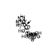 C#C[C@@]1(c2cc3ncnc(N)n3c2)O[C@H](COP(=O)(O)OP(=O)(O)OP(=O)(O)O)[C@H](O)[C@H]1O